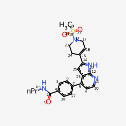 CCCNC(=O)c1ccc(-c2ccnc3[nH]c(C4=CCN(S(C)(=O)=O)CC4)cc23)cc1